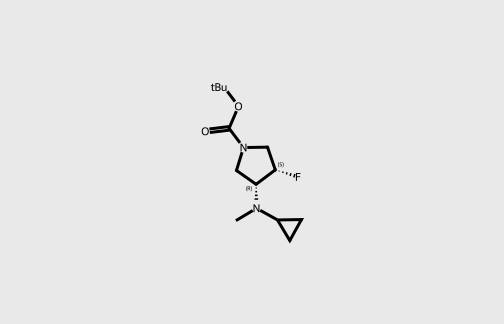 CN(C1CC1)[C@@H]1CN(C(=O)OC(C)(C)C)C[C@@H]1F